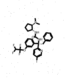 CN(C)[C@@H]1CCC[C@H]1NC(=O)N[C@](Cc1ccccc1)(c1cccc(OC(F)(F)C(F)F)c1)c1ccc(I)cn1